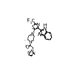 C[C@@H]1CN(c2sc(C(F)(F)F)nc2-c2nc3ccccc3[nH]2)CCN1C(=O)Cn1nccn1